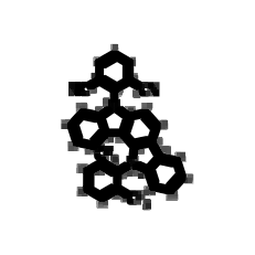 N#Cc1cccc(C#N)c1-n1c2ccccc2c2c1ccc1c3ccccc3n(-c3c(C(F)(F)F)cccc3C(F)(F)F)c12